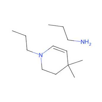 CCCN.CCCN1C=CC(C)(C)CC1